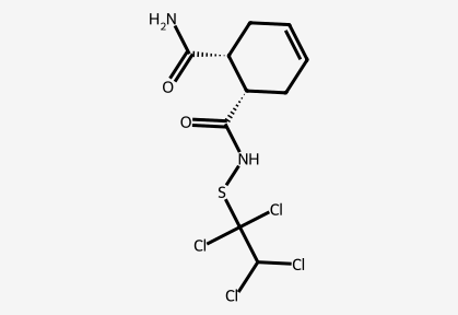 NC(=O)[C@@H]1CC=CC[C@@H]1C(=O)NSC(Cl)(Cl)C(Cl)Cl